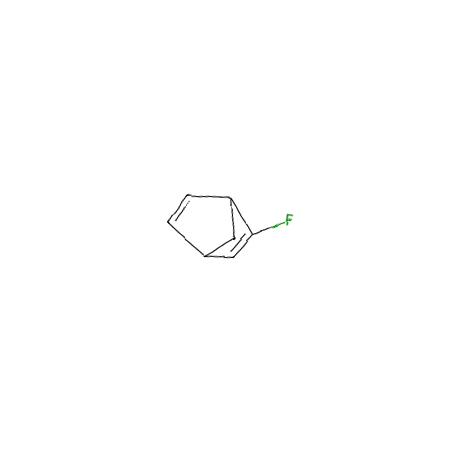 FC1=CC2C=CC1C2